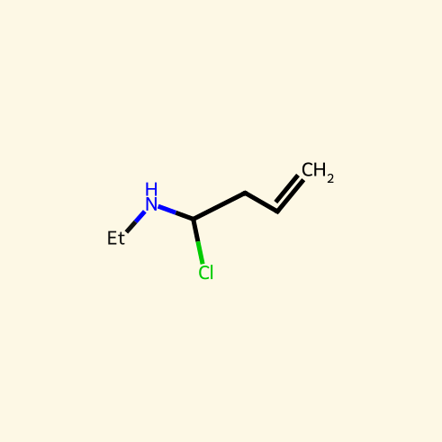 C=CCC(Cl)NCC